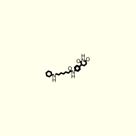 O=C1CCC(c2ccc(NC(=O)CCCCCCNC3CCCCC3)cc2)C(=O)N1